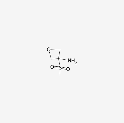 CS(=O)(=O)C1(N)COC1